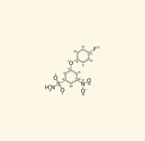 NS(=O)(=O)c1cc(Oc2ccc(F)cc2)cc([N+](=O)[O-])c1